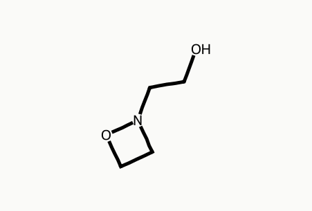 OCCN1CCO1